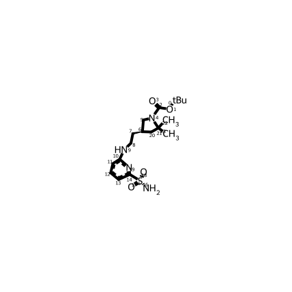 CC(C)(C)OC(=O)N1C[C@H](CCNc2cccc(S(N)(=O)=O)n2)CC1(C)C